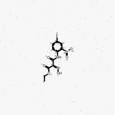 CCOC(=O)C(=NO)C(=O)Nc1ccc(F)cc1[N+](=O)[O-]